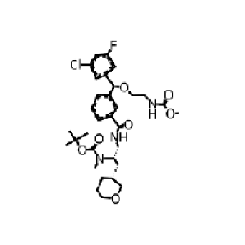 COC(=O)NCCOC(c1cc(F)cc(Cl)c1)c1cccc(C(=O)NC[C@H](C[C@H]2CCCOC2)N(C)C(=O)OC(C)(C)C)c1